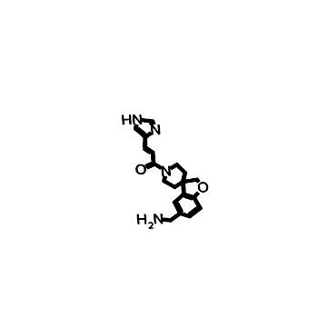 NCc1ccc2c(c1)C1(CCN(C(=O)C=Cc3c[nH]cn3)CC1)CO2